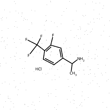 CC(N)c1ccc(C(F)(F)F)c(F)c1.Cl